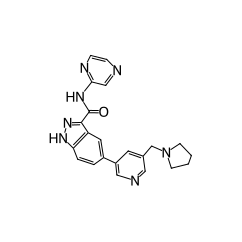 O=C(Nc1cnccn1)c1n[nH]c2ccc(-c3cncc(CN4CCCC4)c3)cc12